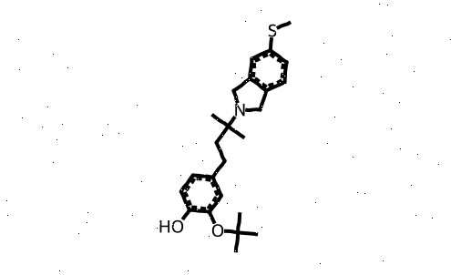 CSc1ccc2c(c1)CN(C(C)(C)CCc1ccc(O)c(OC(C)(C)C)c1)C2